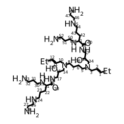 CCC=CCN(CCCCN(CC=CCC)CC(O)CNC(=O)C(CCCNCCN)NCCCN)CC(O)CNC(=O)C(CCCNCCN)NCCCN